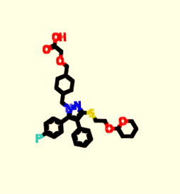 O=C(O)COCC1CCC(Cn2nc(SCCOC3CCCCO3)c(-c3ccccc3)c2-c2ccc(F)cc2)CC1